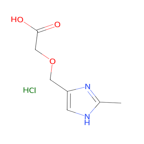 Cc1nc(COCC(=O)O)c[nH]1.Cl